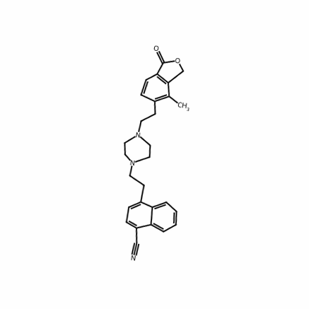 Cc1c(CCN2CCN(CCc3ccc(C#N)c4ccccc34)CC2)ccc2c1COC2=O